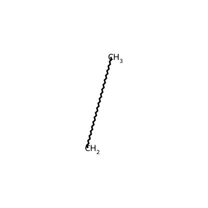 C=CCCCCCCCCCCCCCCCCCCCCCCCCCCCCCCCCCCCCCC